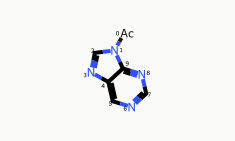 CC(=O)n1cnc2cncnc21